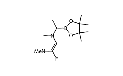 CN/C(F)=C\N(C)C(C)B1OC(C)(C)C(C)(C)O1